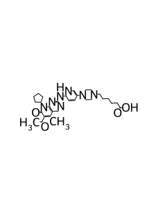 CC(=O)c1c(C)c2cnc(Nc3ccc(N4CCN(CCCCCC(=O)O)CC4)cn3)nc2n(C2CCCC2)c1=O